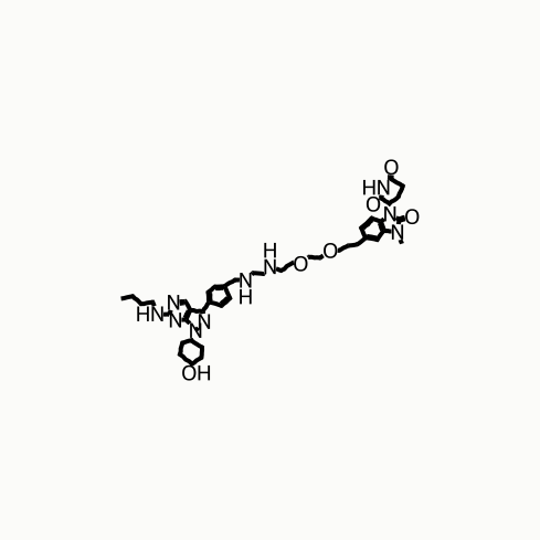 CCCCNc1ncc2c(-c3ccc(CNCCNCCOCCOCCCc4ccc5c(c4)n(C)c(=O)n5[C@H]4CCC(=O)NC4=O)cc3)nn([C@H]3CC[C@H](O)CC3)c2n1